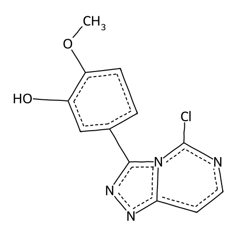 COc1ccc(-c2nnc3ccnc(Cl)n23)cc1O